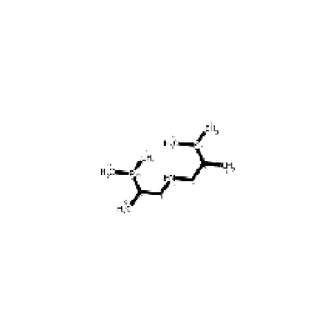 CC(CNCC(C)P(C)C)P(C)C